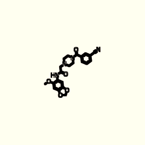 COc1cc2c(cc1NC(=O)CN1CCN(C(=O)c3cccc(C#N)c3)CC1)OCO2